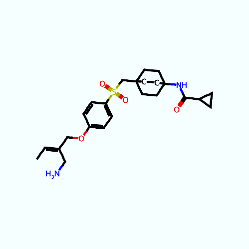 C/C=C(\CN)COc1ccc(S(=O)(=O)CC23CCC(NC(=O)C4CC4)(CC2)CC3)cc1